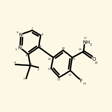 CC(C)(C)c1nnccc1-c1ccc(F)c(C(N)=O)c1